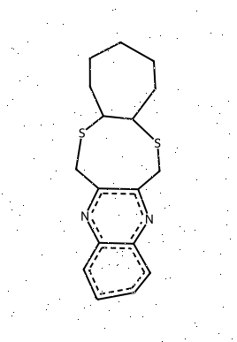 c1ccc2nc3c(nc2c1)CSC1CCCCCC1SC3